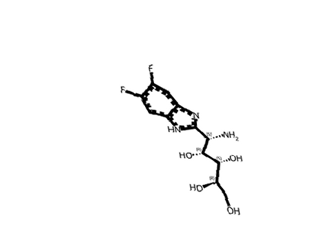 N[C@@H](c1nc2cc(F)c(F)cc2[nH]1)[C@@H](O)[C@H](O)[C@H](O)CO